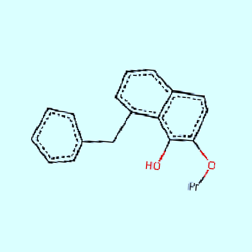 CC(C)Oc1ccc2cccc(Cc3ccccc3)c2c1O